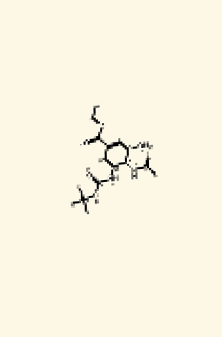 CCOC(=O)C1=C[C@@H](O)[C@H](NC(C)=O)[C@@H](NC(=O)OC(C)(C)C)C1